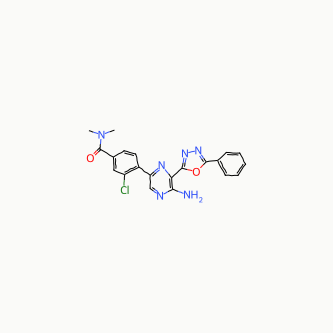 CN(C)C(=O)c1ccc(-c2cnc(N)c(-c3nnc(-c4ccccc4)o3)n2)c(Cl)c1